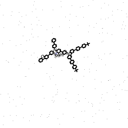 CC(C)(C)c1ccc(-c2ccc(-c3ccc4c(c3)c3cc(-c5ccc(-c6ccc(C(C)(C)C)cc6)cc5)ccc3n4-c3ccc(C4=CC=C(N(c5ccc(-c6ccccc6)cc5)c5ccc(-c6ccc7c(c6)oc6ccccc67)cc5)/C(=N/S)C4=N)cc3)cc2)cc1